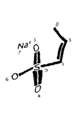 C/C=C\S(=O)(=O)[O-].[Na+]